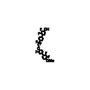 COc1ccc(-c2ccc(OCCC(F)(F)c3ccc(-c4ccc(O)c(F)c4F)cc3)c(F)c2)c(F)c1F